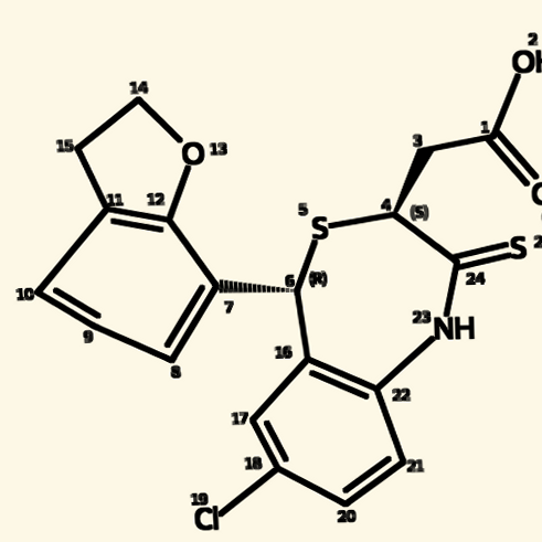 O=C(O)C[C@@H]1S[C@@H](c2cccc3c2OCC3)c2cc(Cl)ccc2NC1=S